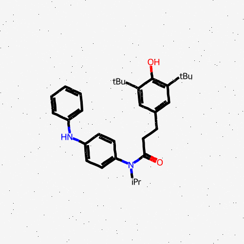 CC(C)N(C(=O)CCc1cc(C(C)(C)C)c(O)c(C(C)(C)C)c1)c1ccc(Nc2ccccc2)cc1